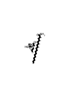 CCCCCCCCCCCCCCCCCC(N)=O.CCCNCCO.O=P(O)(O)O